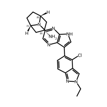 CCn1cc2c(Cl)c(-c3c[nH]c4nc(N5[C@@H]6CC[C@H]5C[C@@H](N)C6)cnc34)ccc2n1